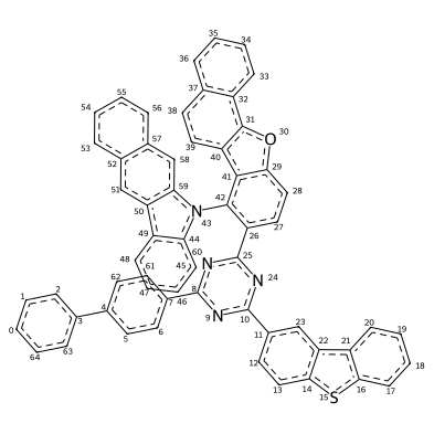 c1ccc(-c2ccc(-c3nc(-c4ccc5sc6ccccc6c5c4)nc(-c4ccc5oc6c7ccccc7ccc6c5c4-n4c5ccccc5c5cc6ccccc6cc54)n3)cc2)cc1